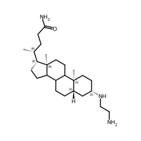 C[C@H](CCC(N)=O)[C@H]1CCC2C3CC[C@H]4C[C@@H](NCCN)CC[C@]4(C)C3CC[C@@]21C